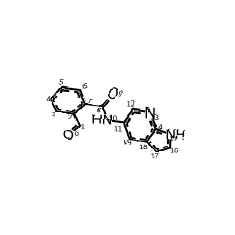 O=Cc1ccccc1C(=O)Nc1cnc2[nH]ccc2c1